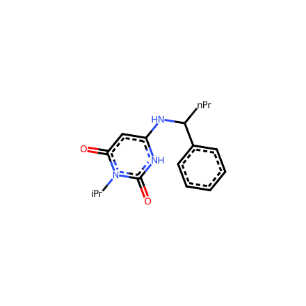 CCCC(Nc1cc(=O)n(C(C)C)c(=O)[nH]1)c1ccccc1